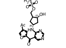 CC(=O)c1coc(C(=O)c2cncnc2N[C@@H]2CC(COS(N)(=O)=O)[C@@H](O)C2)c1